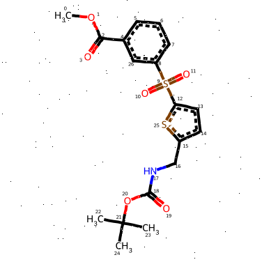 COC(=O)c1cccc(S(=O)(=O)c2ccc(CNC(=O)OC(C)(C)C)s2)c1